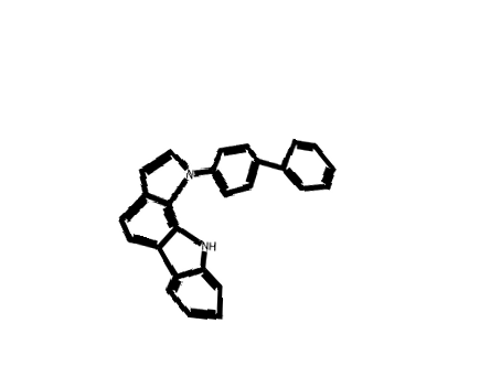 c1ccc(-c2ccc(-n3ccc4ccc5c6ccccc6[nH]c5c43)cc2)cc1